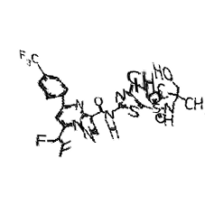 Cc1nc(NC(=O)c2cnn3c(C(F)F)cc(-c4ccc(C(F)(F)F)cc4)nc23)sc1S(=O)(=O)NC(C)(C)CO